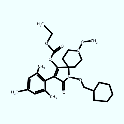 CCOC(=O)OC1=C(c2c(C)cc(C)cc2C)C(=O)N(OCC2CCCCC2)C12CCN(OC)CC2